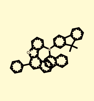 CC1(C)c2ccccc2-c2ccc(N(c3cccc4ccccc34)c3cccc4oc5c(-c6ccccc6)cc6ccccc6c5c34)cc21